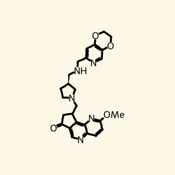 COc1ccc2ncc3c(c2n1)C(CN1CC[C@@H](CNCc2cc4c(cn2)OCCO4)C1)CC3=O